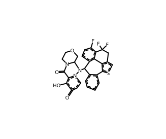 O=C1c2c(O)c(=O)ccn2N(C2c3ccccc3-c3scc4c3-c3c2ccc(F)c3C(F)(F)C4)C2COCCN12